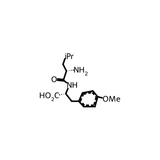 COc1ccc(C[C@@H](NC(=O)[C@@H](N)CC(C)C)C(=O)O)cc1